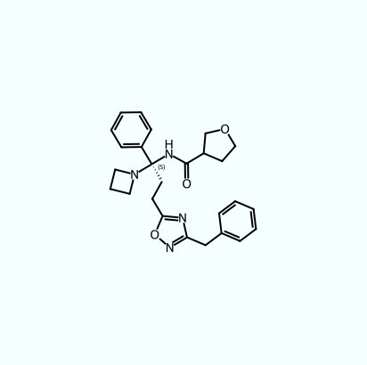 O=C(N[C@](CCc1nc(Cc2ccccc2)no1)(c1ccccc1)N1CCC1)C1CCOC1